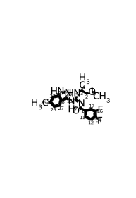 COC[C@H](C)N/C(=N/C(=O)c1ccc(F)c(F)c1)Nc1n[nH]c2cc(C)ccc12